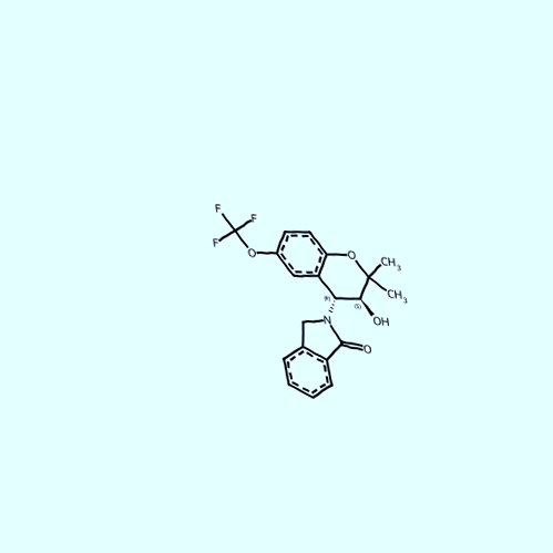 CC1(C)Oc2ccc(OC(F)(F)F)cc2[C@@H](N2Cc3ccccc3C2=O)[C@@H]1O